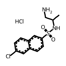 CC(CN)NS(=O)(=O)c1ccc2cc(Cl)ccc2c1.Cl